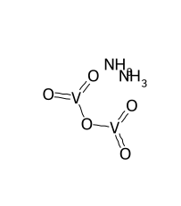 N.N.[O]=[V](=[O])[O][V](=[O])=[O]